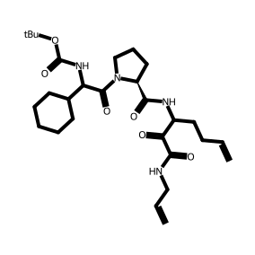 C=CCCC(NC(=O)[C@@H]1CCCN1C(=O)C(NC(=O)OC(C)(C)C)C1CCCCC1)C(=O)C(=O)NCC=C